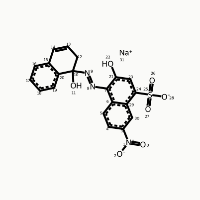 O=[N+]([O-])c1ccc2c(N=NC3(O)CC=Cc4ccccc43)c(O)cc(S(=O)(=O)[O-])c2c1.[Na+]